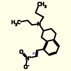 CCCN(CCC)C1CCc2cccc(/C=C/[N+](=O)[O-])c2C1